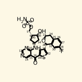 NS(=O)(=O)OC[C@H]1C[C@@H](Nc2ncncc2C(=O)c2cc([C@@H]3OCCc4ccc(F)cc43)cs2)C[C@@H]1O